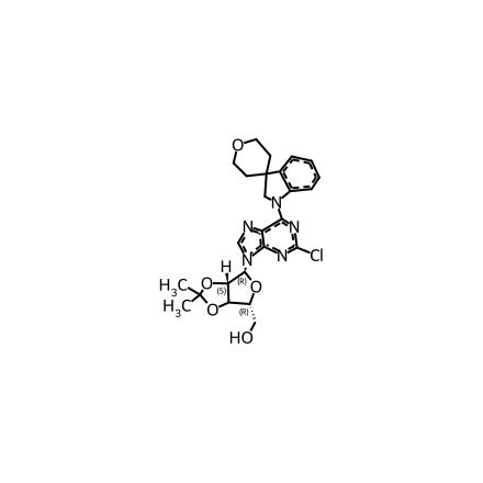 CC1(C)OC2[C@@H](CO)O[C@@H](n3cnc4c(N5CC6(CCOCC6)c6ccccc65)nc(Cl)nc43)[C@H]2O1